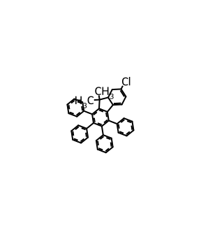 CC1(C)c2c(c(-c3ccccc3)c(-c3ccccc3)c(-c3ccccc3)c2-c2ccccc2)C2=CC=C(Cl)CC21